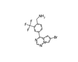 NCc1ccc(-c2ncnn3cc(Br)cc23)cc1C(F)(F)F